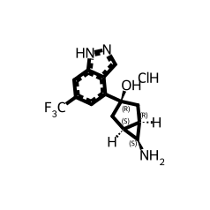 Cl.N[C@H]1[C@H]2C[C@](O)(c3cc(C(F)(F)F)cc4[nH]ncc34)C[C@@H]12